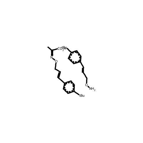 C/C(=N/OC/C=C/c1ccc(C(C)(C)C)cc1)C(=O)O.CC(C)(C)c1ccc(/C=C/CON)cc1